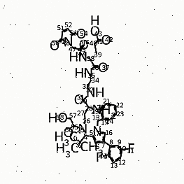 CC(C)(C)[C@H](c1cc(-c2cc(F)ccc2F)cn1Cc1ccccc1)N(CC[C@H](N)C(=O)NCCNC(=O)[C@@H](CCC(=O)O)NC(=O)CN1C(=O)C=CC1=O)C(=O)CO